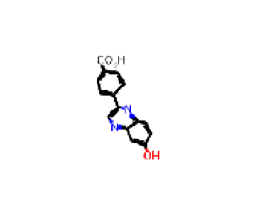 O=C(O)c1ccc(-c2cnc3cc(O)ccc3n2)cc1